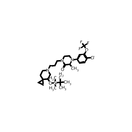 CC1C(=O)N(CCCN2CCC3(CC3)C(O[Si](C)(C)C(C)(C)C)C2)CCN1c1ccc(Cl)c(OC(F)(F)F)c1